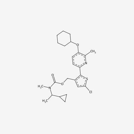 Cc1nc(-c2sc(Cl)cc2COC(=O)N(C)C(C)C2CC2)ccc1OC1CCCCC1